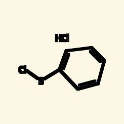 Cl.ClSc1ccccc1